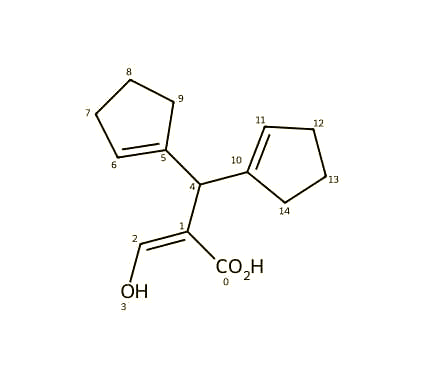 O=C(O)C(=CO)C(C1=CCCC1)C1=CCCC1